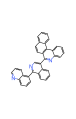 c1ccc2c(c1)ccc1c(-c3cnc(-c4cccc5ncccc45)c4ccccc34)nc3ccccc3c12